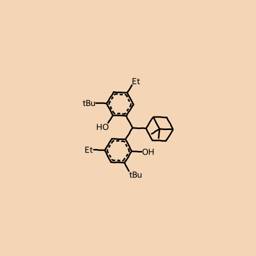 CCc1cc(C(c2cc(CC)cc(C(C)(C)C)c2O)C2CCC3CC2C3(C)C)c(O)c(C(C)(C)C)c1